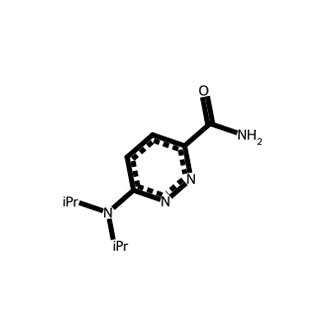 CC(C)N(c1ccc(C(N)=O)nn1)C(C)C